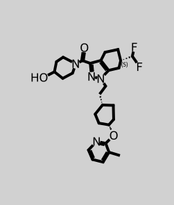 Cc1cccnc1O[C@H]1CC[C@@H](CCn2nc(C(=O)N3CCC(O)CC3)c3c2C[C@@H](C(F)F)CC3)CC1